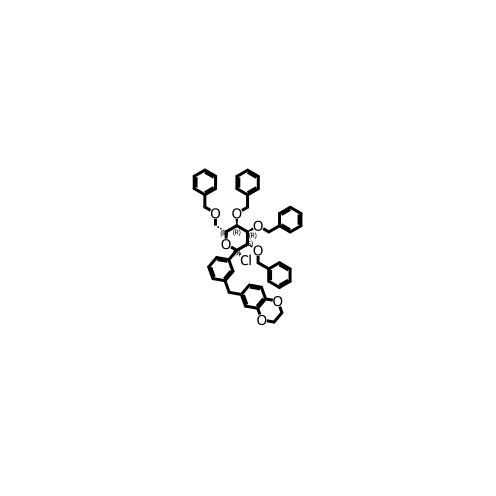 Cl[C@]1(c2cccc(Cc3ccc4c(c3)OCCO4)c2)O[C@H](COCc2ccccc2)[C@@H](OCc2ccccc2)[C@@H](OCc2ccccc2)[C@@H]1OCc1ccccc1